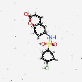 O=c1ccc2cc(NS(=O)(=O)c3ccc(Cl)cc3)ccc2o1